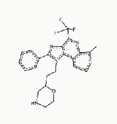 Cc1cccc2c1nc(C(F)(F)F)c1nc(-c3ccccc3)n(CCC3CNCCO3)c12